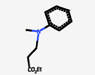 CCOC(=O)CCN(C)c1cc[c]cc1